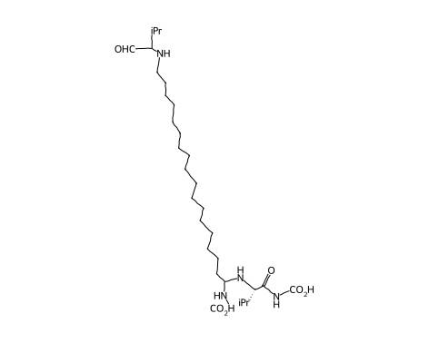 CC(C)C(C=O)NCCCCCCCCCCCCCCCCCC(NC(=O)O)N[C@H](C(=O)NC(=O)O)C(C)C